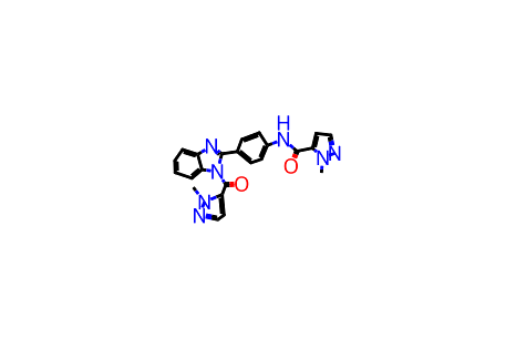 Cn1nccc1C(=O)Nc1ccc(-c2nc3ccccc3n2C(=O)c2ccnn2C)cc1